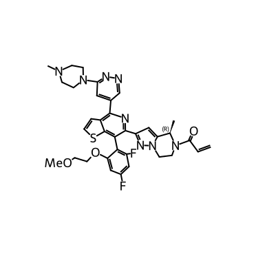 C=CC(=O)N1CCn2nc(-c3nc(-c4cnnc(N5CCN(C)CC5)c4)c4ccsc4c3-c3c(F)cc(F)cc3OCCOC)cc2[C@H]1C